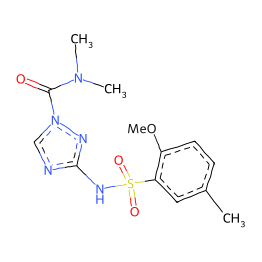 COc1ccc(C)cc1S(=O)(=O)Nc1ncn(C(=O)N(C)C)n1